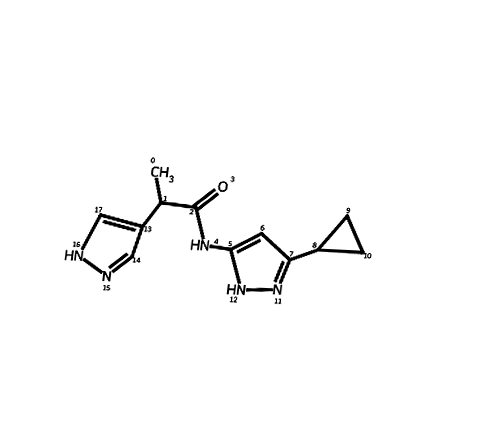 CC(C(=O)Nc1cc(C2CC2)n[nH]1)c1cn[nH]c1